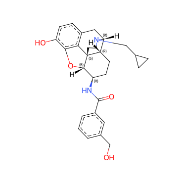 O=C(N[C@@H]1CC[C@H]2[C@H]3Cc4ccc(O)c5c4[C@@]2(CCN3CC2CC2)[C@H]1O5)c1cccc(CO)c1